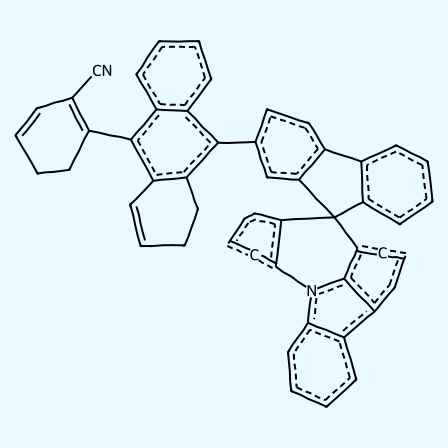 N#CC1=C(c2c3c(c(-c4ccc5c(c4)C4(c6ccccc6-5)c5ccccc5-n5c6ccccc6c6cccc4c65)c4ccccc24)CCC=C3)CCC=C1